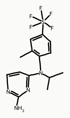 Cc1cc(S(F)(F)(F)(F)F)ccc1N(c1ccnc(N)n1)C(C)C